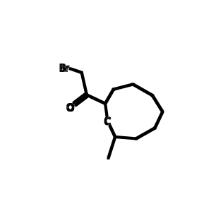 CC1CCCCCCC(C(=O)CBr)C1